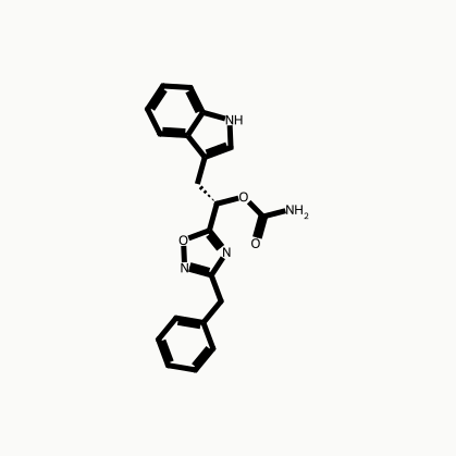 NC(=O)O[C@@H](Cc1c[nH]c2ccccc12)c1nc(Cc2ccccc2)no1